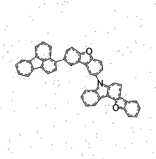 c1ccc2c(c1)-c1cccc3c(-c4ccc5oc6ccc(-n7c8ccccc8c8c9oc%10ccccc%10c9ccc87)cc6c5c4)ccc-2c13